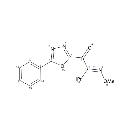 CO/N=C(/C(=O)c1nnc(-c2ccccc2)o1)C(C)C